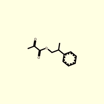 CC(=O)C(=O)OCC(C)c1ccccc1